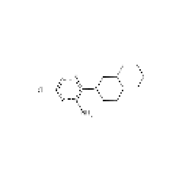 Nc1cc(Cl)cnc1N1CCC2CCCCC2C1